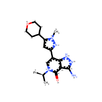 CC(C)[C@H](C)n1cc(-c2cc(C3CCOCC3)n(C)n2)c2[nH]nc(N)c2c1=O